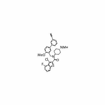 C#Cc1cccc(-c2ccc(OC)c(CN(C(=O)c3sc4cccc(F)c4c3Cl)[C@H]3CC[C@H](NC)CC3)c2)c1